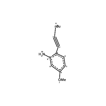 CCCCC#Cc1ccc(OC)c[n+]1N